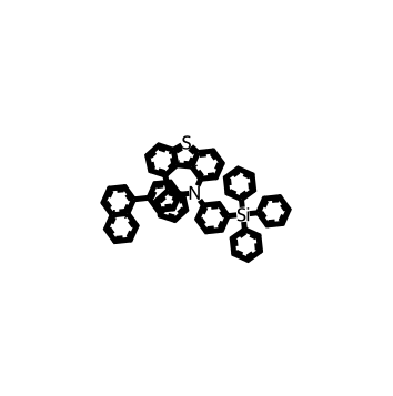 c1ccc(-c2cccc3sc4cccc(N(c5ccc(-c6cccc7ccccc67)cc5)c5cccc([Si](c6ccccc6)(c6ccccc6)c6ccccc6)c5)c4c23)cc1